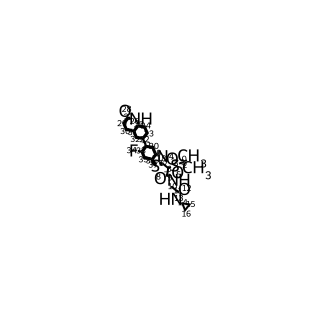 CC(C)S(=O)(=O)C(C(=O)NCC(=O)NC1CC1)c1nc2cc(-c3ccc4[nH]c(=O)ccc4c3)c(F)cc2s1